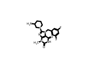 Cn1c(=O)[nH]c(=O)c2c1nc(N1CCCC(N)C1)n2Cc1cc(F)cc(F)c1